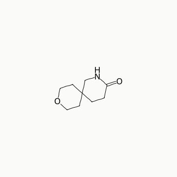 O=C1CCC2(CCOCC2)CN1